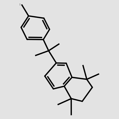 [CH]c1ccc(C(C)(C)c2ccc3c(c2)C(C)(C)CCC3(C)C)cc1